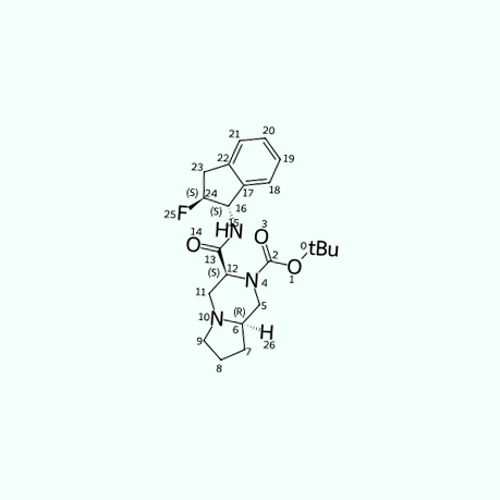 CC(C)(C)OC(=O)N1C[C@H]2CCCN2C[C@H]1C(=O)N[C@H]1c2ccccc2C[C@@H]1F